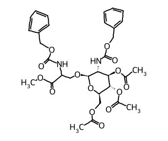 COC(=O)C(CO[C@@H]1O[C@H](COC(C)=O)[C@@H](OC(C)=O)[C@H](OC(C)=O)[C@H]1NC(=O)OCc1ccccc1)NC(=O)OCc1ccccc1